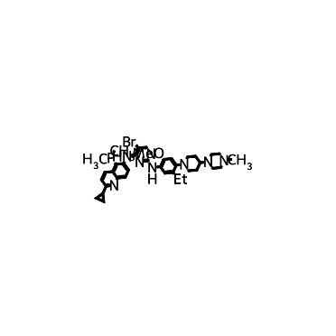 CCc1cc(Nc2ncc(Br)c(Nc3ccc4nc(C5CC5)ccc4c3P(C)C)n2)c(OC)cc1N1CCC(N2CCN(C)CC2)CC1